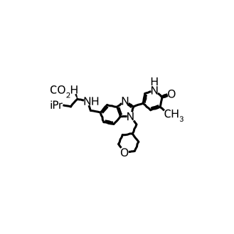 Cc1cc(-c2nc3cc(CN[C@@H](CC(C)C)C(=O)O)ccc3n2CC2CCOCC2)c[nH]c1=O